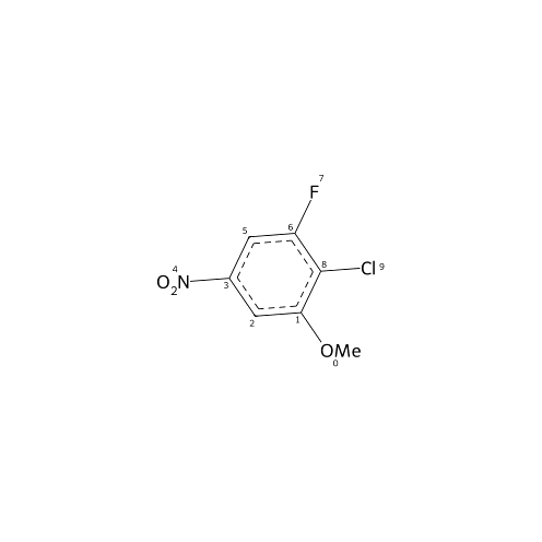 COc1cc([N+](=O)[O-])cc(F)c1Cl